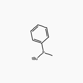 CP(c1ccccc1)C(C)(C)C